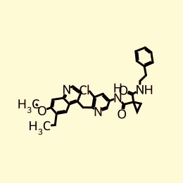 CCc1cc2c(Cc3ncc(NC(=O)C4(C(=O)NCCc5ccccc5)CC4)cc3Cl)ccnc2cc1OC